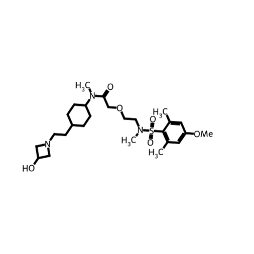 COc1cc(C)c(S(=O)(=O)N(C)CCOCC(=O)N(C)C2CCC(CCN3CC(O)C3)CC2)c(C)c1